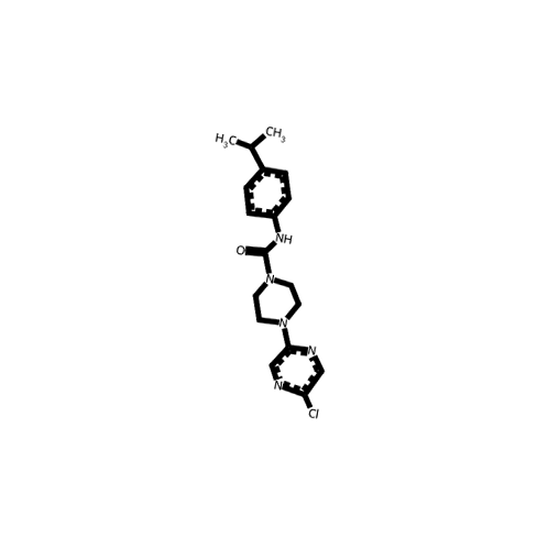 CC(C)c1ccc(NC(=O)N2CCN(c3cnc(Cl)cn3)CC2)cc1